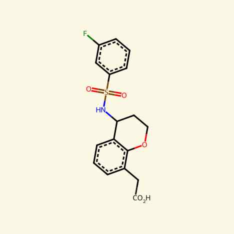 O=C(O)Cc1cccc2c1OCCC2NS(=O)(=O)c1cccc(F)c1